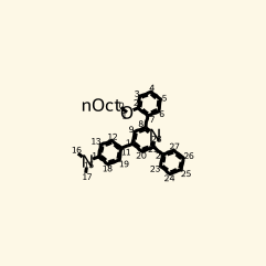 CCCCCCCCOc1ccccc1-c1cc(-c2ccc(N(C)C)cc2)cc(-c2ccccc2)n1